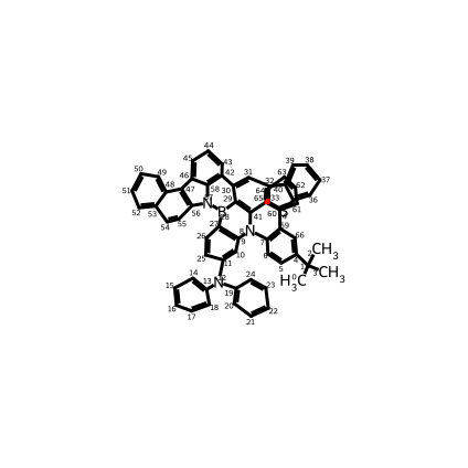 CC(C)(C)c1ccc(N2c3cc(N(c4ccccc4)c4ccccc4)ccc3B3c4c(cc5c(sc6ccccc65)c42)-c2cccc4c5c6ccccc6ccc5n3c24)c(-c2ccccc2)c1